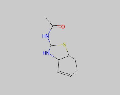 CC(=O)NC1NC2C=CCCC2S1